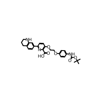 CC(C)(C)OC(=O)Nc1ccc(OCCOc2ccc(-c3ccc4c(c3)NCCC4)nc2C(=O)O)cc1